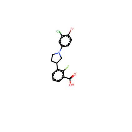 O=C(O)c1cccc(C2CCN(c3ccc(Br)c(Cl)c3)C2)c1F